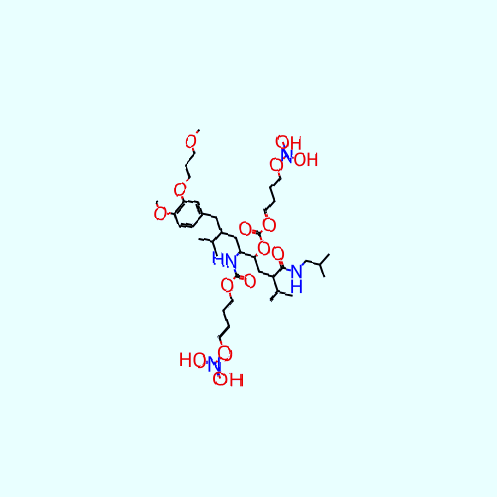 COCCCOc1cc(CC(CC(NC(=O)OCCCCON(O)O)C(CC(C(=O)NCC(C)C)C(C)C)OC(=O)OCCCCON(O)O)C(C)C)ccc1OC